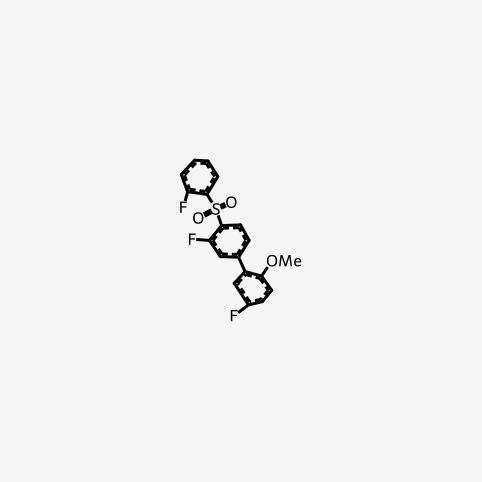 COc1ccc(F)cc1-c1ccc(S(=O)(=O)c2ccccc2F)c(F)c1